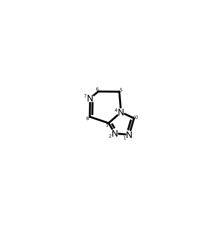 [c]1nnc2n1CCN=C2